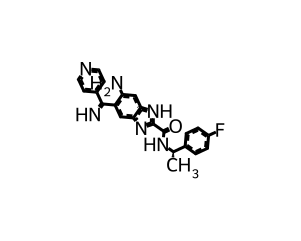 C[C@@H](NC(=O)c1nc2cc(C(=N)c3ccncc3)c(N)cc2[nH]1)c1ccc(F)cc1